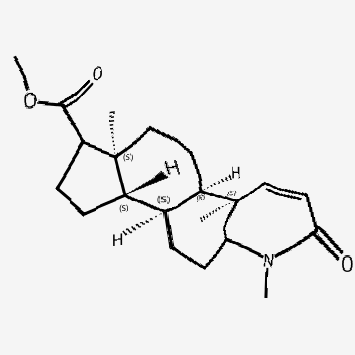 COC(=O)C1CC[C@H]2[C@@H]3CCC4N(C)C(=O)C=C[C@]4(C)[C@@H]3CC[C@]12C